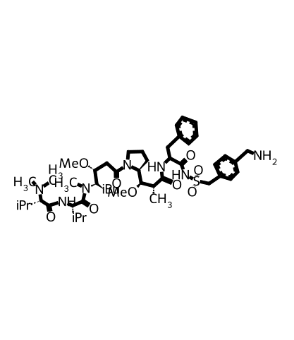 CC[C@H](C)[C@@H]([C@@H](CC(=O)N1CCC[C@H]1[C@H](OC)[C@@H](C)C(=O)NC(Cc1ccccc1)C(=O)NS(=O)(=O)Cc1ccc(CN)cc1)OC)N(C)C(=O)[C@@H](NC(=O)[C@H](C(C)C)N(C)C)C(C)C